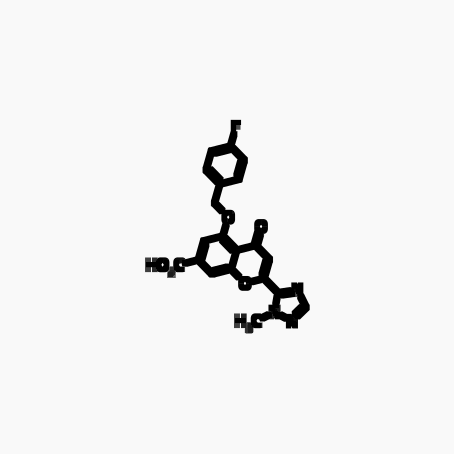 Cn1ncnc1-c1cc(=O)c2c(OCc3ccc(F)cc3)cc(C(=O)O)cc2o1